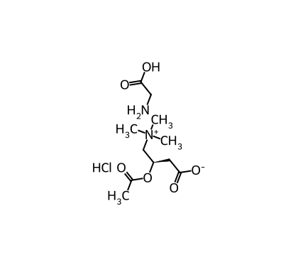 CC(=O)O[C@H](CC(=O)[O-])C[N+](C)(C)C.Cl.NCC(=O)O